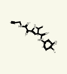 C#CCNC(=O)C(=O)C1=CC(C(=O)Nc2ccc(F)c(Cl)c2)C(C)O1